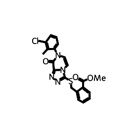 COC(=O)c1ccccc1CSc1nnc2c(=O)n(-c3cccc(Cl)c3C)ccn12